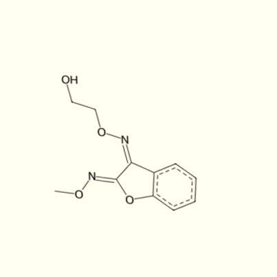 CON=C1Oc2ccccc2C1=NOCCO